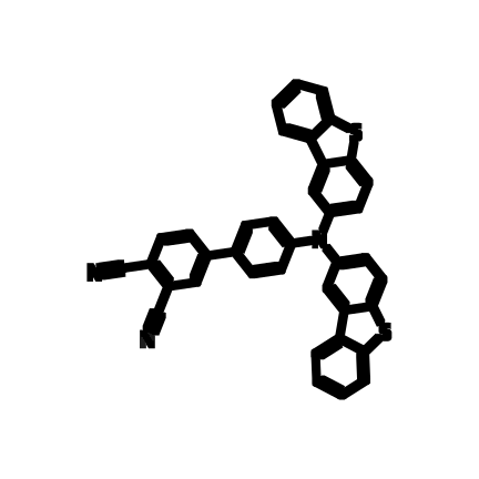 N#Cc1ccc(-c2ccc(N(c3ccc4sc5ccccc5c4c3)c3ccc4sc5ccccc5c4c3)cc2)cc1C#N